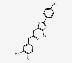 Cc1cc(CC(=O)Cc2sc(-c3ccc(C(F)(F)F)cc3)nc2C(C)C)ccc1O